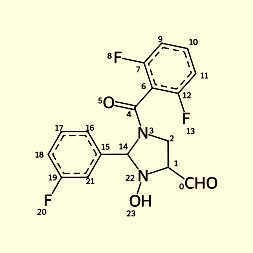 O=CC1CN(C(=O)c2c(F)cccc2F)C(c2cccc(F)c2)N1O